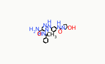 C[C@@H](Nc1nc(Nc2cccc(NC(=O)N3CCC(O)C3)c2)ncc1C(N)=O)c1ccccc1